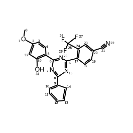 COc1ccc(-c2nc(-c3ccccc3)nc(-c3ccc(C#N)cc3C(F)(F)F)n2)c(O)c1